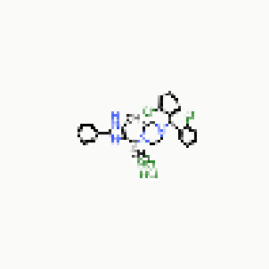 Cc1[nH]c(-c2ccccc2)nc1C(C)N1CCN(C(c2ccccc2Cl)c2ccccc2Cl)CC1.Cl.Cl.Cl